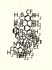 Bc1c(B)c(C(F)(F)F)c(B)c(B)c1-c1c(B)c(B)c(C(B)(B)N(C(=O)Cn2c(SCc3ccc(F)cc3)nc(=O)c3c2C(B)(B)C(B)(B)C3(B)B)C(B)(B)C(B)(B)N(CC)CC)c(B)c1B